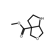 COC(=O)C12CCNC1COC2